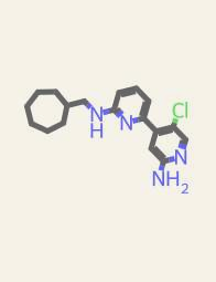 Nc1cc(-c2cccc(NCC3CCCCCC3)n2)c(Cl)cn1